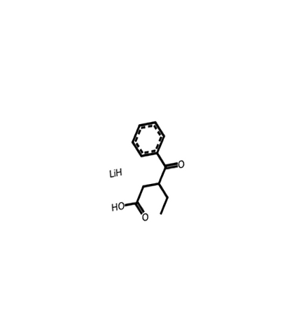 CCC(CC(=O)O)C(=O)c1ccccc1.[LiH]